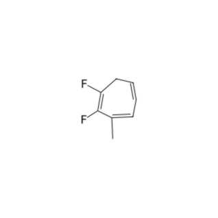 CC1=CC=CCC(F)=C1F